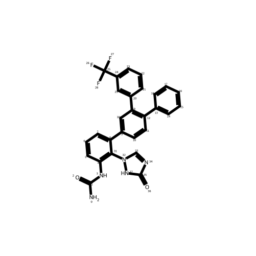 NC(=O)Nc1cccc(-c2ccc(-c3ccccc3)c(-c3cccc(C(F)(F)F)c3)c2)c1-n1cnc(=O)[nH]1